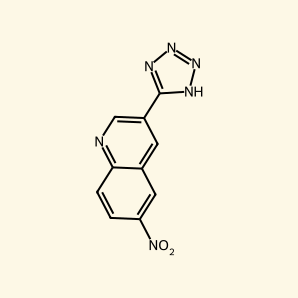 O=[N+]([O-])c1ccc2ncc(-c3nnn[nH]3)cc2c1